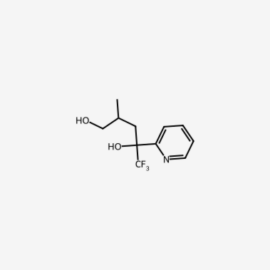 CC(CO)CC(O)(c1ccccn1)C(F)(F)F